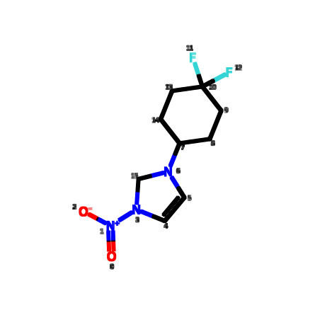 O=[N+]([O-])N1C=CN(C2CCC(F)(F)CC2)C1